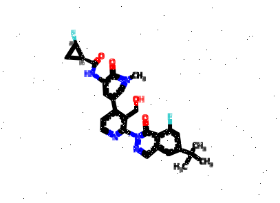 Cn1cc(-c2ccnc(-n3ncc4cc(C(C)(C)C)cc(F)c4c3=O)c2CO)cc(NC(=O)[C@H]2C[C@H]2F)c1=O